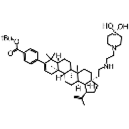 C=C(C)[C@@H]1CC[C@]2(CCNCCN3CCS(O)(O)CC3)CC[C@]3(C)[C@H](CC[C@@H]4[C@@]5(C)CC=C(c6ccc(C(=O)OC(C)(C)C)cc6)C(C)(C)[C@@H]5CC[C@]43C)[C@@H]12